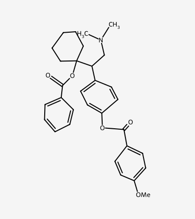 COc1ccc(C(=O)Oc2ccc(C(CN(C)C)C3(OC(=O)c4ccccc4)CCCCC3)cc2)cc1